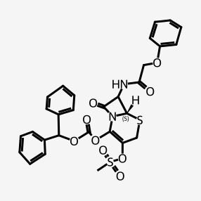 CS(=O)(=O)OC1=C(OC(=O)OC(c2ccccc2)c2ccccc2)N2C(=O)C(NC(=O)COc3ccccc3)[C@@H]2SC1